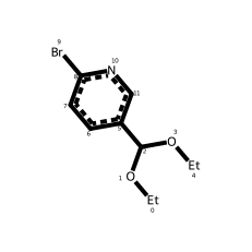 CCOC(OCC)c1ccc(Br)nc1